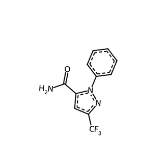 NC(=O)c1cc(C(F)(F)F)nn1-c1ccccc1